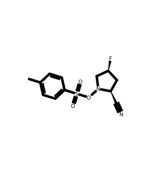 Cc1ccc(S(=O)(=O)ON2C[C@@H](F)C[C@H]2C#N)cc1